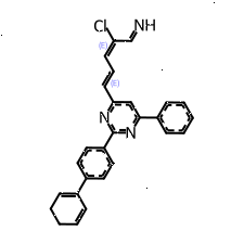 N=C/C(Cl)=C\C=C\c1cc(-c2ccccc2)nc(-c2ccc(C3=CCCC=C3)cc2)n1